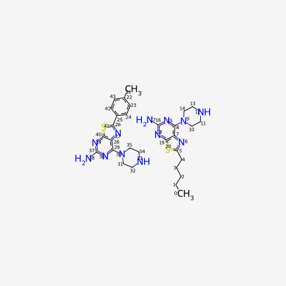 CCCCCc1nc2c(N3CCNCC3)nc(N)nc2s1.Cc1ccc(-c2nc3c(N4CCNCC4)nc(N)nc3s2)cc1